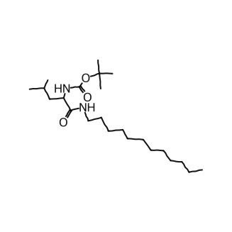 CCCCCCCCCCCCNC(=O)C(CC(C)C)NC(=O)OC(C)(C)C